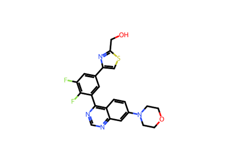 OCc1nc(-c2cc(F)c(F)c(-c3ncnc4cc(N5CCOCC5)ccc34)c2)cs1